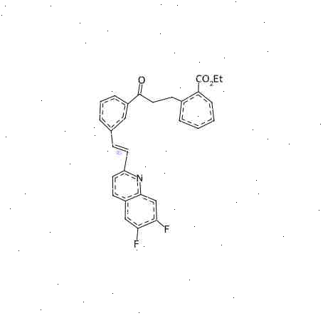 CCOC(=O)c1ccccc1CCC(=O)c1cccc(/C=C/c2ccc3cc(F)c(F)cc3n2)c1